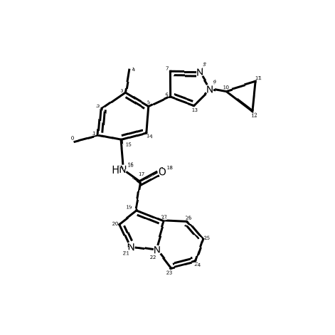 Cc1cc(C)c(-c2cnn(C3CC3)c2)cc1NC(=O)c1cnn2ccccc12